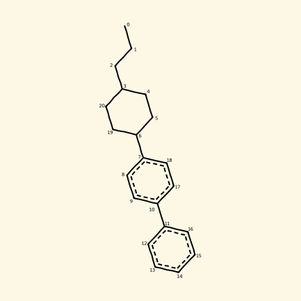 CCCC1CCC(c2ccc(-c3ccccc3)cc2)CC1